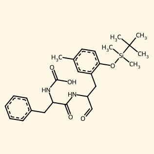 Cc1ccc(O[Si](C)(C)C(C)(C)C)c(CC(C=O)NC(=O)C(Cc2ccccc2)NC(=O)O)c1